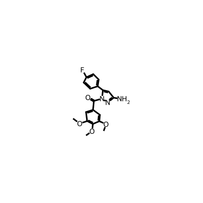 COc1cc(C(=O)n2nc(N)cc2-c2ccc(F)cc2)cc(OC)c1OC